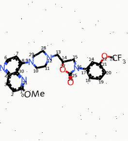 COc1ccc2nccc(N3CCN(CC4CN(c5cccc(OC(F)(F)F)c5)C(=O)O4)CC3)c2n1